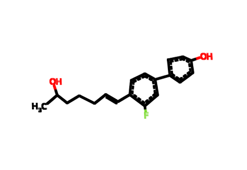 CC(O)CCC/C=C/c1ccc(-c2ccc(O)cc2)cc1F